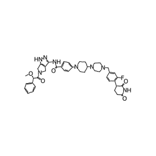 CO[C@@H](C(=O)N1Cc2[nH]nc(NC(=O)c3ccc(N4CCC(N5CCN(Cc6ccc(C7CCC(=O)NC7=O)c(F)c6)CC5)CC4)cc3)c2C1)c1ccccc1